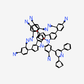 N#Cc1ccc(-c2ccc3c(c2)c2cc(-c4ccc(C#N)cc4C#N)ccc2n3-c2cc(C#N)c(-c3cc(-c4ccccc4)nc(-c4ccccc4)c3)cc2-n2c3ccc(-c4ccc(C#N)cc4C#N)cc3c3cc(-c4ccc(C#N)cc4C#N)ccc32)c(C#N)c1